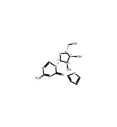 Nc1ncn([C@@H]2O[C@H](CO)[C@@H](O)[C@H]2O)c(=O)n1.c1ccoc1